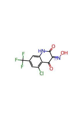 O=C1Nc2cc(C(F)(F)F)cc(Cl)c2C(=O)/C1=N/O